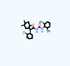 Cc1cc2oc(NC(=O)Nc3c(C(C)C)cccc3C(C)C)c(-c3ccccc3Cl)c2cc1C